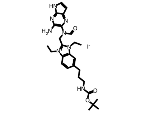 CCn1c(CN(C=O)c2nc3cc[nH]c3nc2N)[n+](CC)c2ccc(CCCNC(=O)OC(C)(C)C)cc21.[I-]